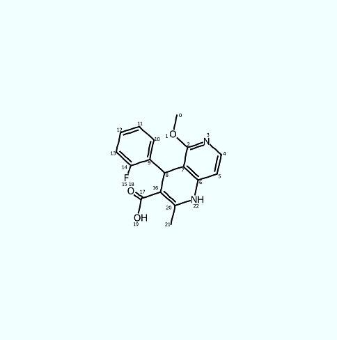 COc1nccc2c1C(c1ccccc1F)C(C(=O)O)=C(C)N2